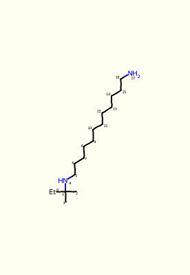 CCC(C)(C)NCCCCCCCCCCCCN